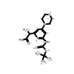 CC(C(=O)O)c1cc(N2CCOCC2)cc(NC(=O)OC(C)(C)C)n1